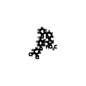 O=C(O)c1cnn(-c2cccc(-c3ccccc3OCc3ccc(Oc4ccc(Cl)c(Cl)c4)nc3)n2)c1C(F)(F)F